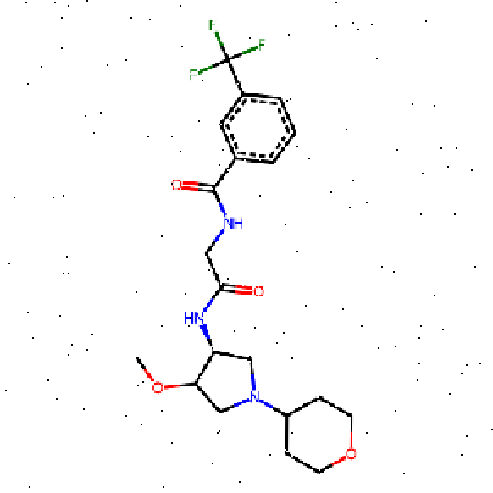 COC1CN(C2CCOCC2)C[C@@H]1NC(=O)CNC(=O)c1cccc(C(F)(F)F)c1